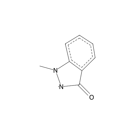 CN1[N]C(=O)c2ccccc21